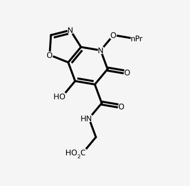 CCCOn1c(=O)c(C(=O)NCC(=O)O)c(O)c2ocnc21